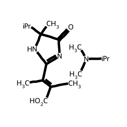 CC(C(=O)O)=C(C)C1=NC(=O)C(C)(C(C)C)N1.CC(C)N(C)C